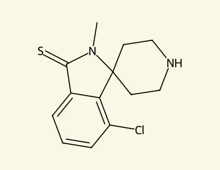 CN1C(=S)c2cccc(Cl)c2C12CCNCC2